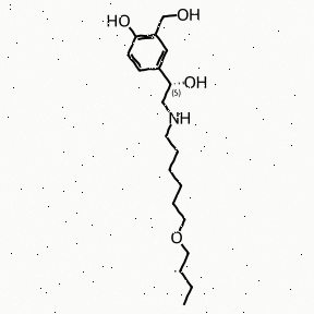 CC[CH]COCCCCCCNC[C@@H](O)c1ccc(O)c(CO)c1